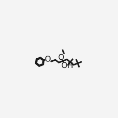 CCOC(O)(CCCOc1ccccc1)CC(C)(C)CC(C)(C)C